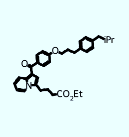 CCOC(=O)CCCc1cc(C(=O)c2ccc(OCCCc3ccc(CC(C)C)cc3)cc2)c2ccccn12